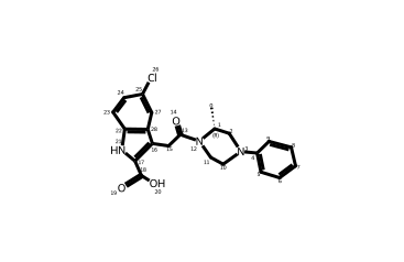 C[C@@H]1CN(c2ccccc2)CCN1C(=O)Cc1c(C(=O)O)[nH]c2ccc(Cl)cc12